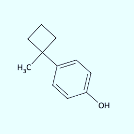 CC1(c2ccc(O)cc2)CCC1